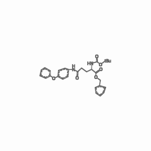 CC(C)(C)OC(=O)NC(CCC(=O)Nc1ccc(Oc2ccccc2)cc1)C(=O)OCc1ccccc1